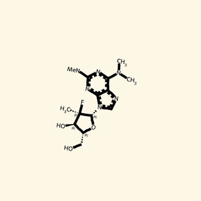 CNc1nc(N(C)C)c2ncn([C@@H]3O[C@H](CO)[C@@H](O)[C@@]3(C)F)c2n1